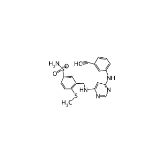 C#Cc1cccc(Nc2cc(NCc3cc(S(N)(=O)=O)ccc3SC)ncn2)c1